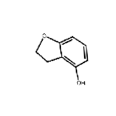 Oc1cccc2c1CCO2